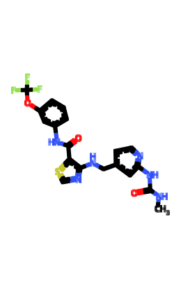 CNC(=O)Nc1cc(CNc2ncsc2C(=O)Nc2cccc(OC(F)(F)F)c2)ccn1